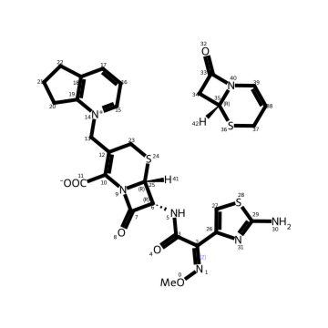 CO/N=C(\C(=O)N[C@@H]1C(=O)N2C(C(=O)[O-])=C(C[n+]3cccc4c3CCC4)CS[C@H]12)c1csc(N)n1.O=C1C[C@H]2SCC=CN12